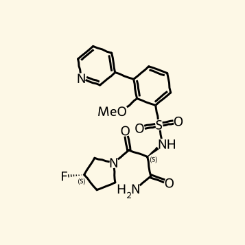 COc1c(-c2cccnc2)cccc1S(=O)(=O)N[C@@H](C(N)=O)C(=O)N1CC[C@H](F)C1